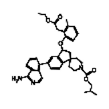 CCOC(=O)Cc1c(C)cccc1OC1CC2(CCN(C(=O)OCC(C)C)CC2)c2ccc(-c3cccc4c(N)nccc34)cc21